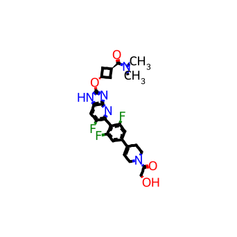 CN(C)C(=O)[C@H]1C[C@@H](Oc2nc3nc(-c4c(F)cc(C5=CCN(C(=O)CO)CC5)cc4F)c(F)cc3[nH]2)C1